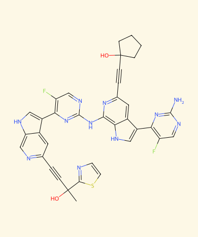 CC(O)(C#Cc1cc2c(-c3nc(Nc4nc(C#CC5(O)CCCC5)cc5c(-c6nc(N)ncc6F)c[nH]c45)ncc3F)c[nH]c2cn1)c1nccs1